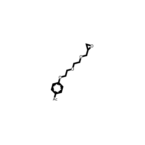 CC(=O)c1ccc(OCCOCCOCC2CO2)cc1